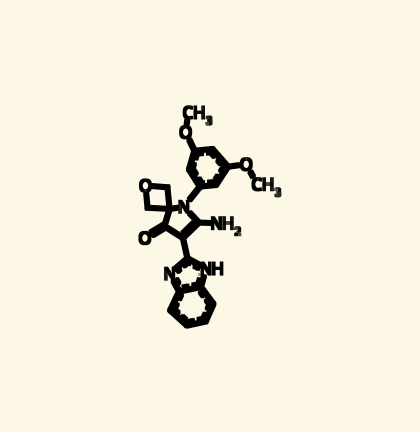 COc1cc(OC)cc(N2C(N)=C(c3nc4ccccc4[nH]3)C(=O)C23COC3)c1